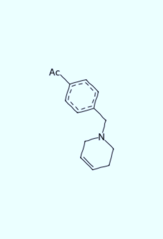 CC(=O)c1ccc(CN2CC=CCC2)cc1